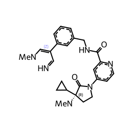 CN/C=C(\C=N)c1cccc(CNC(=O)c2cc(N3CC[C@@](NC)(C4CC4)C3=O)ccn2)c1